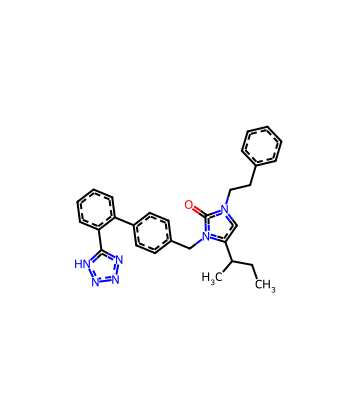 CCC(C)c1cn(CCc2ccccc2)c(=O)n1Cc1ccc(-c2ccccc2-c2nnn[nH]2)cc1